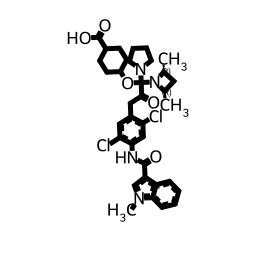 C[C@@H]1C[C@@H](C)N1C(OC1CCC(C(=O)O)CC1)(C(=O)Cc1cc(Cl)c(NC(=O)c2cn(C)c3ccccc23)cc1Cl)N1CCCC1